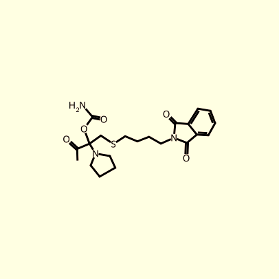 CC(=O)C(CSCCCCN1C(=O)c2ccccc2C1=O)(OC(N)=O)N1CCCC1